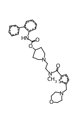 CN(CCN1CCC(OC(=O)Nc2ccccc2-c2ccccc2)CC1)C(=O)c1ccc(CN2CCOCC2)s1